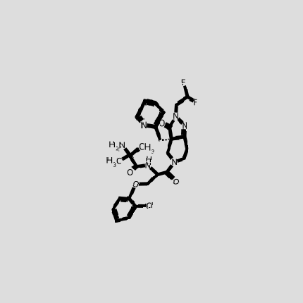 CC(C)(N)C(=O)NC(COc1ccccc1Cl)C(=O)N1CCC2=NN(CC(F)F)C(=O)[C@]2(Cc2ccccn2)C1